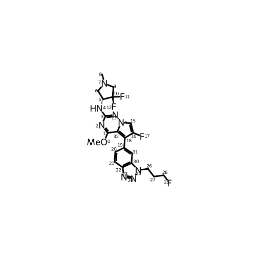 COc1nc(N[C@@H]2CN(C)CC2(F)F)nn2cc(F)c(-c3ccc4nnn(CCCF)c4c3)c12